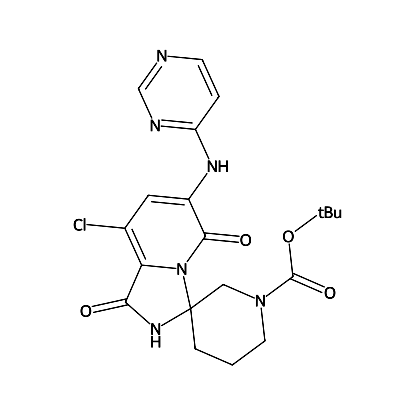 CC(C)(C)OC(=O)N1CCCC2(C1)NC(=O)c1c(Cl)cc(Nc3ccncn3)c(=O)n12